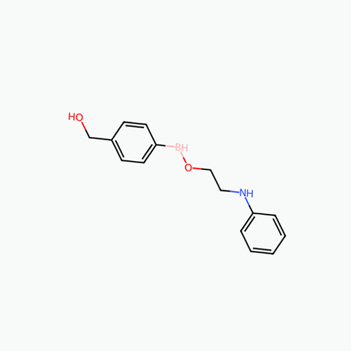 OCc1ccc(BOCCNc2ccccc2)cc1